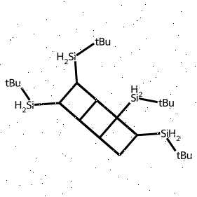 CC(C)(C)[SiH2]C12C3C4C1C1([SiH2]C(C)(C)C)C4([SiH2]C(C)(C)C)C3C21[SiH2]C(C)(C)C